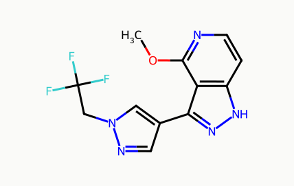 COc1nccc2[nH]nc(-c3cnn(CC(F)(F)F)c3)c12